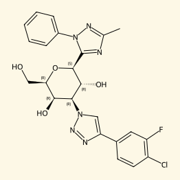 Cc1nc([C@@H]2O[C@H](CO)[C@H](O)[C@H](n3cc(-c4ccc(Cl)c(F)c4)nn3)[C@H]2O)n(-c2ccccc2)n1